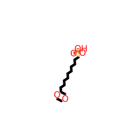 O=S(=O)(O)CCCCCCCCCCC1COCCO1